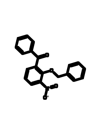 O=C(c1ccccc1)c1cccc([N+](=O)[O-])c1OCc1ccccc1